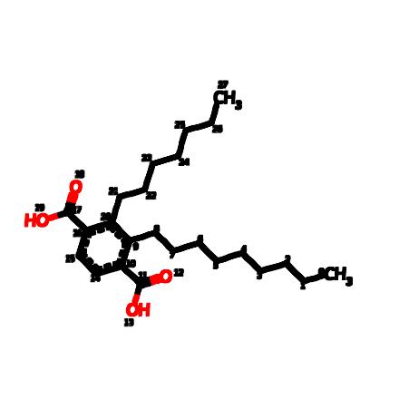 CCCCCCCCCc1c(C(=O)O)ccc(C(=O)O)c1CCCCCCC